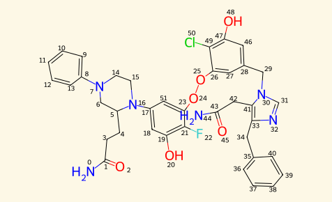 NC(=O)CCC1CN(c2ccccc2)CCN1c1cc(O)c(F)c(OOc2cc(Cn3cnc(Cc4ccccc4)c3CC(N)=O)cc(O)c2Cl)c1